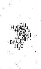 CCc1cc(Br)ccc1NC(=N)NC(=O)NC(C)(C)C